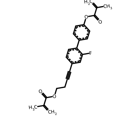 C=C(C)C(=O)OCCC#Cc1ccc(-c2ccc(OC(=O)C(=C)C)cc2)c(F)c1